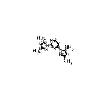 Cc1cc(N)n(-c2ccnc(-n3nc(C)cc3N)n2)n1